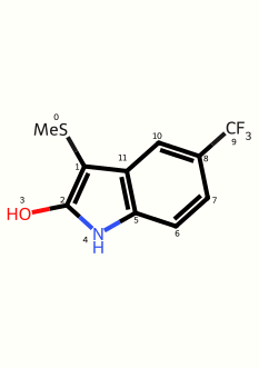 CSc1c(O)[nH]c2ccc(C(F)(F)F)cc12